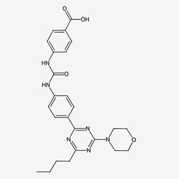 CCCCc1nc(-c2ccc(NC(=O)Nc3ccc(C(=O)O)cc3)cc2)nc(N2CCOCC2)n1